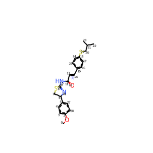 COc1ccc(C2CSC(NC(=O)/C=C/c3ccc(SCC(C)C)cc3)=N2)cc1